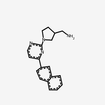 NCC1CCN(c2nccc(-c3ccc4ccccc4c3)n2)C1